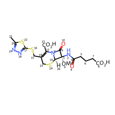 CO[C@@]1(NC(=O)CCCC(=O)O)C(=O)N2C(C(=O)O)=C(CSc3nnc(C)s3)CS[C@@H]21